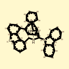 N=C(/N=C(\NCc1cccc2oc3cccc(-c4ccccc4)c3c12)n1c2ccccc2c2ccccc21)c1ccccc1